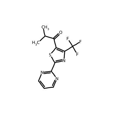 CC(C)C(=O)c1sc(-c2ncccn2)nc1C(F)(F)F